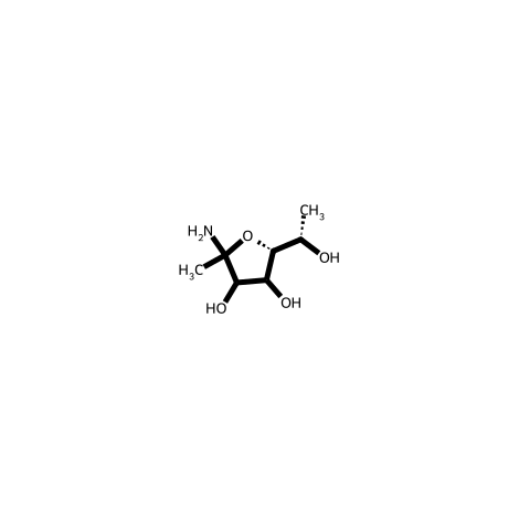 C[C@H](O)[C@H]1OC(C)(N)C(O)C1O